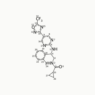 O=C(NCC(Nc1ncc(-c2noc(C(F)(F)F)n2)cn1)c1ccccc1F)C1CC1